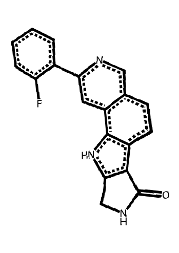 O=C1NCc2[nH]c3c(ccc4cnc(-c5ccccc5F)cc43)c21